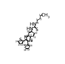 CCCCCNC(=S)Nc1ccc2nc(-c3cccs3)c(-c3cccs3)nc2c1